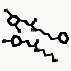 O=C(C=Cc1cc(Cl)ccc1Cl)NCCCCc1ccccc1.O=C(C=Cc1ccc(Cl)cc1)NCCCO